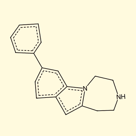 c1ccc(-c2ccc3cc4n(c3c2)CCNCC4)cc1